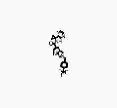 O=C(NC1(c2cnccn2)CC1)c1cnc2c(c1)CN(Cc1ccc(C(F)(F)F)cc1)C2